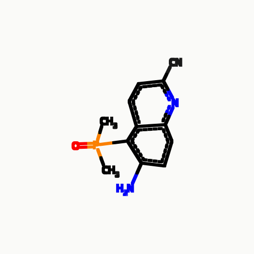 CP(C)(=O)c1c(N)ccc2nc(C#N)ccc12